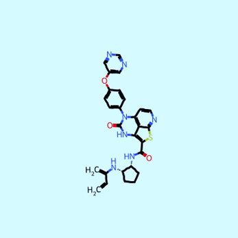 C=CC(=C)N[C@H]1CCC[C@H]1NC(=O)c1sc2nccc3c2c1NC(=O)N3c1ccc(Oc2cncnc2)cc1